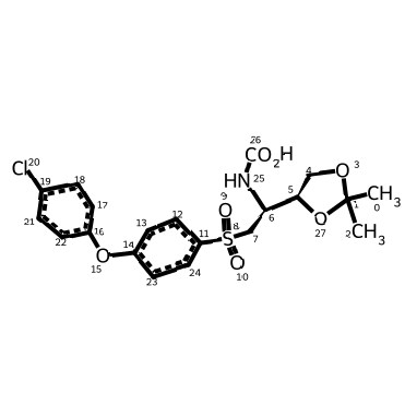 CC1(C)OC[C@H]([C@@H](CS(=O)(=O)c2ccc(Oc3ccc(Cl)cc3)cc2)NC(=O)O)O1